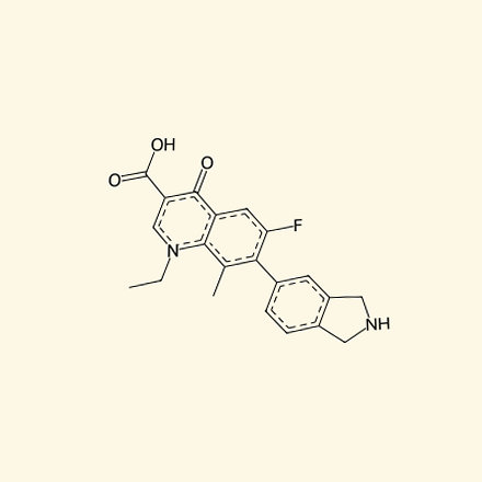 CCn1cc(C(=O)O)c(=O)c2cc(F)c(-c3ccc4c(c3)CNC4)c(C)c21